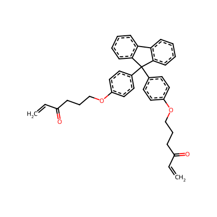 C=CC(=O)CCCOc1ccc(C2(c3ccc(OCCCC(=O)C=C)cc3)c3ccccc3-c3ccccc32)cc1